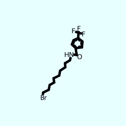 O=C(NCCCCCCCCCCBr)c1ccc(C(F)(F)F)cc1